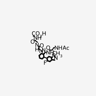 CC(=O)NCCC(=O)Nc1nn(CC(=O)NCC(=O)NCC(=O)O)c2cccc(-c3cc4c(cnn4C)cc3F)c12